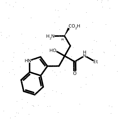 CCNC(=O)C(O)(Cc1c[nH]c2ccccc12)C[C@@H](N)C(=O)O